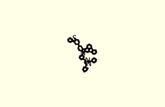 C1=CC(C2C=Cc3c(c4c5cccc6c5c(cc4n3-c3cccc(-c4cc(-c5ccccc5)nc(-c5ccccc5)n4)c3)-c3ccccc3-6)C2)Cc2c1sc1ccccc21